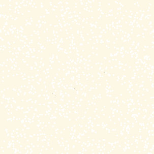 O=C(NCC1CCCC1)c1ccc(Nc2cccc(Cl)c2)nc1C(F)(F)F